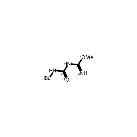 CCC(C)NC(=O)NC(=N)OC